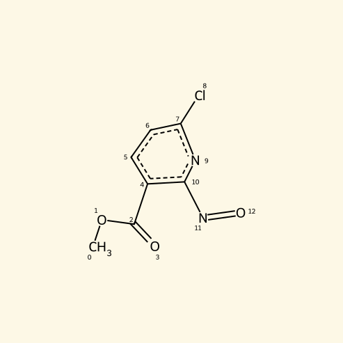 COC(=O)c1ccc(Cl)nc1N=O